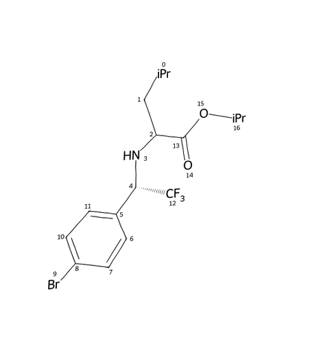 CC(C)CC(N[C@@H](c1ccc(Br)cc1)C(F)(F)F)C(=O)OC(C)C